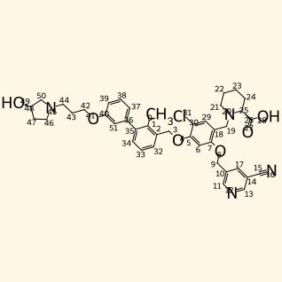 Cc1c(COc2cc(OCc3cncc(C#N)c3)c(CN3CCCC[C@H]3C(=O)O)cc2Cl)cccc1-c1cccc(OCCCN2CC[C@@H](O)C2)c1